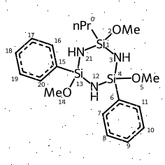 CCC[Si]1(OC)N[Si](OC)(c2ccccc2)N[Si](OC)(c2ccccc2)N1